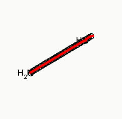 C#CCOCCOCCOCCOCCC(=O)NCCOCCOCCOCCOCCOCCOCCOCCOCCOCCOCCOCCOCCOCCOCCOCCOCCOCCOCCOCCOCCOCCOCCOCCOCCOCCOCCOCCOCCOCCOCCOCCOCCOCCOCCOCCOCCC(N)=O